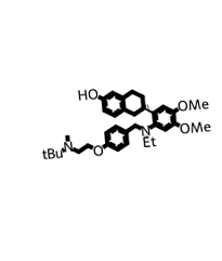 CCN(Cc1ccc(OCCN(C)C(C)(C)C)cc1)c1cc(OC)c(OC)cc1[C@@H]1CCc2cc(O)ccc2C1